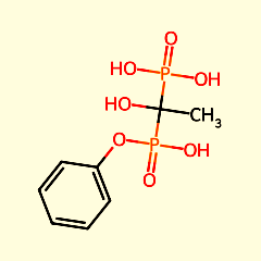 CC(O)(P(=O)(O)O)P(=O)(O)Oc1ccccc1